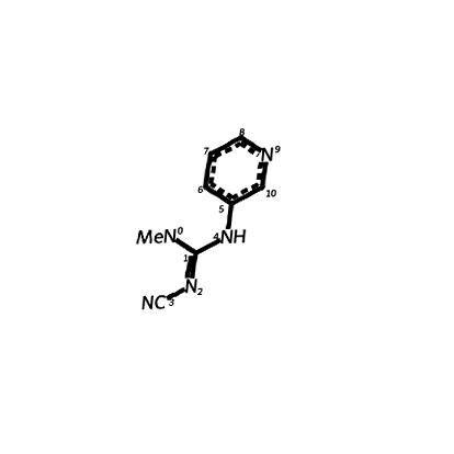 CN/C(=N\C#N)Nc1cccnc1